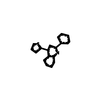 c1ccc(-c2cc(-c3cccs3)c3ccccc3n2)cc1